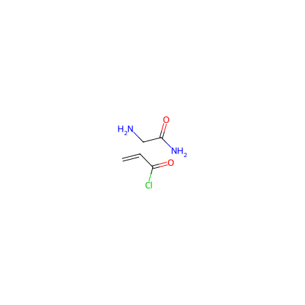 C=CC(=O)Cl.NCC(N)=O